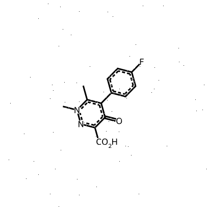 Cc1c(-c2ccc(F)cc2)c(=O)c(C(=O)O)nn1C